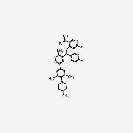 Cc1cc(-c2cc(/C(=C/c3cc(F)ncc3B(O)O)c3ccc(F)nc3)c(N)nn2)cc(C)c1N1CCN(C)CC1